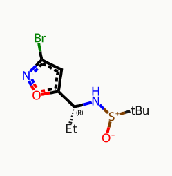 CC[C@@H](N[S+]([O-])C(C)(C)C)c1cc(Br)no1